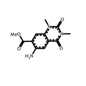 COC(=O)c1cc2c(cc1N)c(=O)n(C)c(=O)n2C